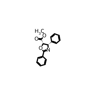 COC(=O)[C@H]1OC(c2ccccc2)=N[C@H]1c1ccccc1